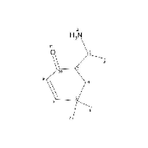 CC(N)C1CC(C)(C)C=CC1=O